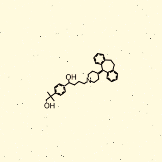 CC(C)(CO)c1ccc(C(O)CCCN2CCC(=C3c4ccccc4CCc4ccccc43)CC2)cc1